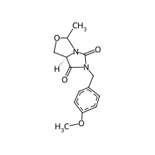 COc1ccc(CN2C(=O)[C@H]3COC(C)N3C2=O)cc1